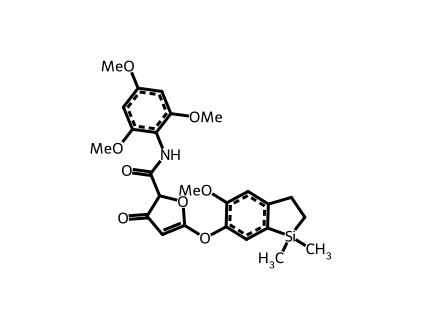 COc1cc(OC)c(NC(=O)C2OC(Oc3cc4c(cc3OC)CC[Si]4(C)C)=CC2=O)c(OC)c1